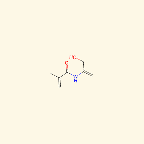 C=C(CO)NC(=O)C(=C)C